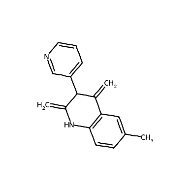 C=C1Nc2ccc(C)cc2C(=C)C1c1cccnc1